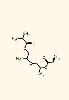 C=CC(=O)OC(C)COC(C)COC(=O)C(C)C